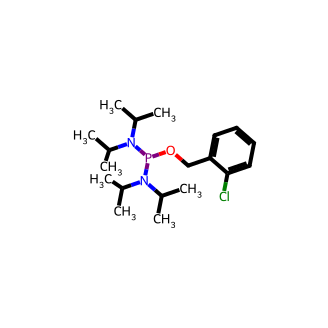 CC(C)N(C(C)C)P(OCc1ccccc1Cl)N(C(C)C)C(C)C